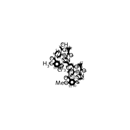 C=CC(=O)N1CCN(C(=O)c2cc(Sc3sc(NC(=O)C4CC4)nc3C=CC(=O)N3CCN(C(=O)c4cc(Sc5cnc(NC(=O)C6CC6)s5)ccc4OC)C[C@H]3C)c(Cl)cc2C)CC1